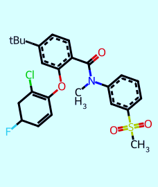 CN(C(=O)c1ccc(C(C)(C)C)cc1OC1=C(Cl)CC(F)C=C1)c1cccc(S(C)(=O)=O)c1